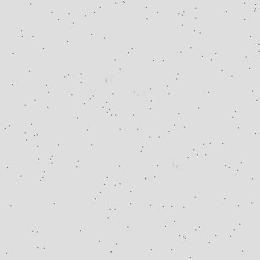 Nc1c(O)cccc1O.Nc1ccc(O)cc1O